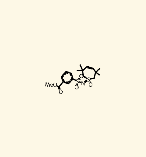 COC(=O)c1cccc(S(=O)(=O)N=S2(=O)CC(C)(C)C=CC(C)(C)C2)c1